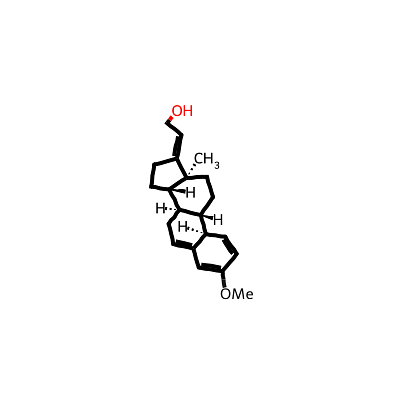 COC1=CC2=CC[C@@H]3[C@H](CC[C@]4(C)C(=CCO)CC[C@@H]34)[C@H]2C=C1